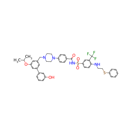 CC(C)Oc1cc(CN2CCN(c3ccc(C(=O)NS(=O)(=O)c4ccc(NCCSc5ccccc5)c(C(F)(F)F)c4)cc3)CC2)cc(-c2cccc(O)c2)c1